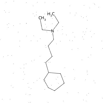 CCN(CC)CCC[CH]C1CCCCC1